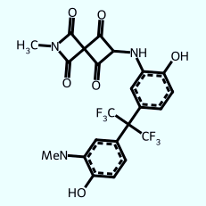 CNc1cc(C(c2ccc(O)c(NC3C(=O)C4(C3=O)C(=O)N(C)C4=O)c2)(C(F)(F)F)C(F)(F)F)ccc1O